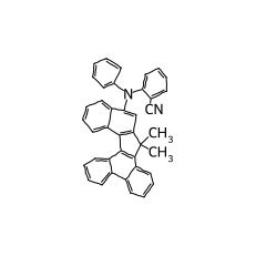 CC1(C)c2cc(N(c3ccccc3)c3ccccc3C#N)c3ccccc3c2-c2c1c1ccccc1c1ccccc21